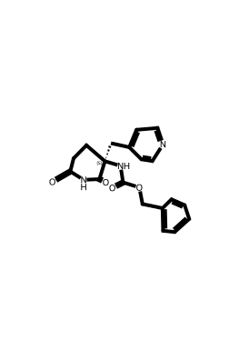 O=C1CC[C@@](Cc2ccncc2)(NC(=O)OCc2ccccc2)C(=O)N1